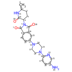 C=C1CCC(N2C(=O)c3ccc(N4CCN(c5ccc(N)cn5)CC4)cc3C2=O)C(=O)N1